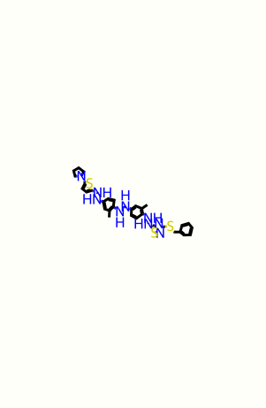 Cc1cc(NNc2ccc(N3CCCC3)s2)ccc1NNc1ccc(NNc2nc(SCc3ccccc3)ns2)c(C)c1